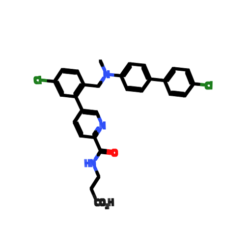 CN(Cc1ccc(Cl)cc1-c1ccc(C(=O)NCCC(=O)O)nc1)c1ccc(-c2ccc(Cl)cc2)cc1